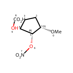 CO[C@H]1CCC[C@H]1O[N+](=O)[O-].O=C(O)O